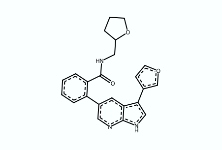 O=C(NCC1CCCO1)c1ccccc1-c1cnc2[nH]cc(-c3ccoc3)c2c1